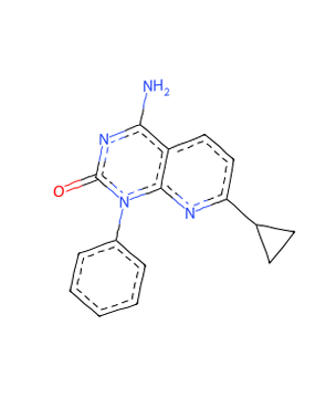 Nc1nc(=O)n(-c2ccccc2)c2nc(C3CC3)ccc12